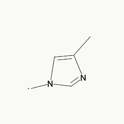 [CH2]n1cnc(C)c1